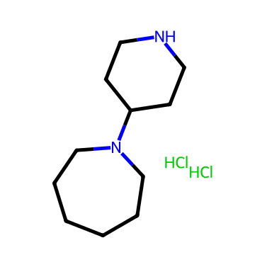 C1CCCN(C2CCNCC2)CC1.Cl.Cl